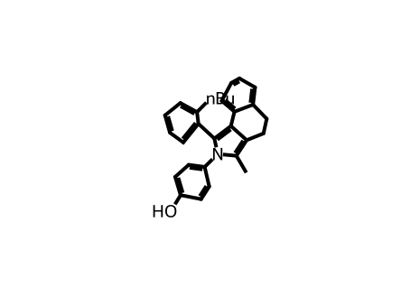 CCCCc1ccccc1-c1c2c(c(C)n1-c1ccc(O)cc1)CCc1ccccc1-2